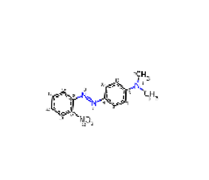 CN(C)c1ccc(N=Nc2ccccc2[N+](=O)[O-])cc1